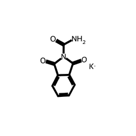 NC(=O)N1C(=O)c2ccccc2C1=O.[K]